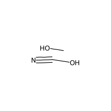 CO.N#CO